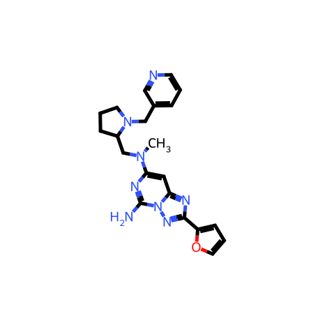 CN(CC1CCCN1Cc1cccnc1)c1cc2nc(-c3ccco3)nn2c(N)n1